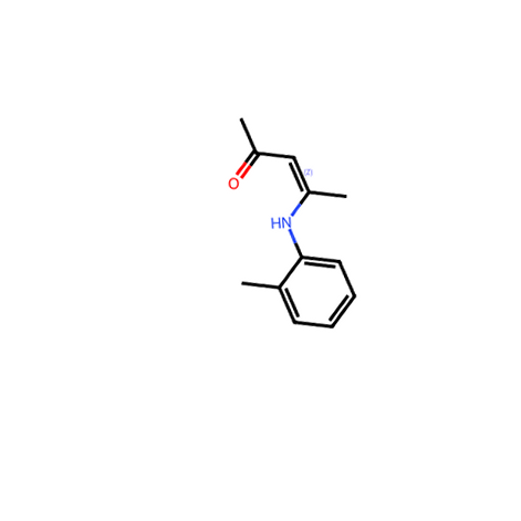 CC(=O)/C=C(/C)Nc1ccccc1C